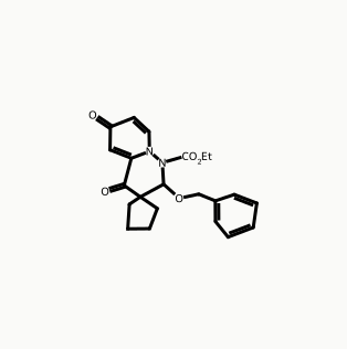 CCOC(=O)N1C(OCc2ccccc2)C2(CCCC2)C(=O)c2cc(=O)ccn21